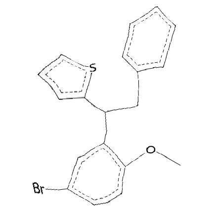 COc1ccc(Br)cc1C(Cc1ccccc1)c1cccs1